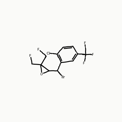 FCC1(CF)OC1C(Br)c1cc(C(F)(F)F)ccc1Cl